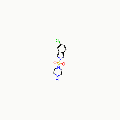 O=S(=O)(N1CCNCC1)n1cc2ccc(Cl)cc2c1